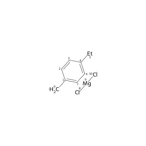 [CH2]c1ccc(CC)cc1.[Cl][Mg][Cl]